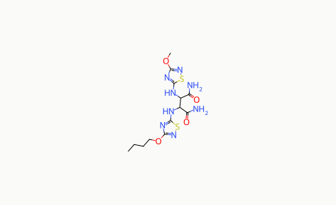 CCCCOc1nsc(NC(C(N)=O)C(Nc2nc(OC)ns2)C(N)=O)n1